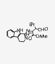 COC(=O)[C@@H](NC1=NCCc2c1[nH]c1ccccc21)C(C=O)C(C)C